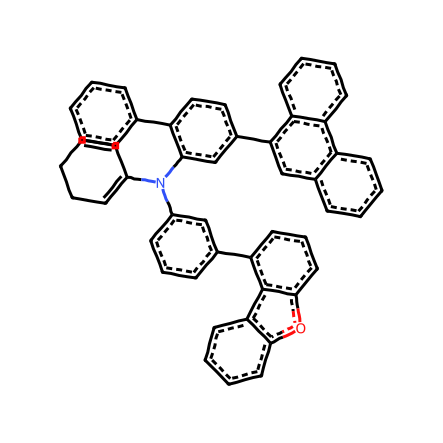 C1=CC(N(c2cccc(-c3cccc4oc5ccccc5c34)c2)c2cc(-c3cc4ccccc4c4ccccc34)ccc2-c2ccccc2)=CCC1